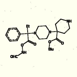 CCC(C(=O)ONC=O)(c1ccccc1)N1CCN(C2(C(=O)OC(C)(C)C)CCNCC2)CC1